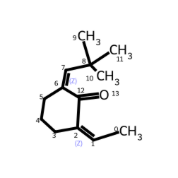 C/C=C1/CCC/C(=C/C(C)(C)C)C1=O